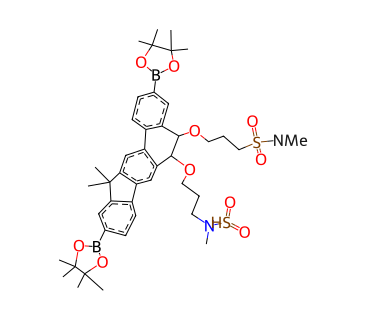 CNS(=O)(=O)CCCOC1c2cc(B3OC(C)(C)C(C)(C)O3)ccc2-c2cc3c(cc2C1OCCCN(C)[SH](=O)=O)-c1ccc(B2OC(C)(C)C(C)(C)O2)cc1C3(C)C